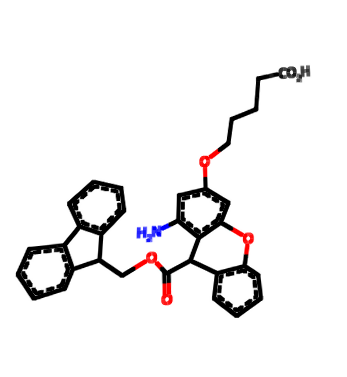 Nc1cc(OCCCCC(=O)O)cc2c1C(C(=O)OCC1c3ccccc3-c3ccccc31)c1ccccc1O2